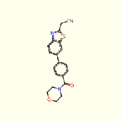 N#CCc1nc2ccc(-c3ccc(C(=O)N4CCOCC4)cc3)cc2s1